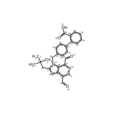 CC(C)(C)Cc1nc2c(C=O)nnc(C=O)c2n1Cc1ccc(-c2ccccc2C(=O)O)cc1